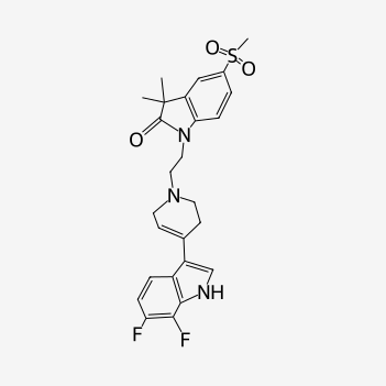 CC1(C)C(=O)N(CCN2CC=C(c3c[nH]c4c(F)c(F)ccc34)CC2)c2ccc(S(C)(=O)=O)cc21